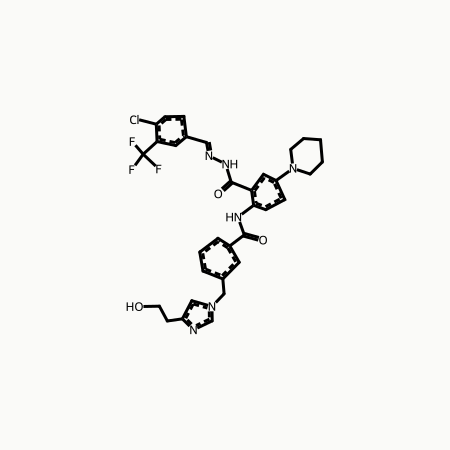 O=C(Nc1ccc(N2CCCCC2)cc1C(=O)NN=Cc1ccc(Cl)c(C(F)(F)F)c1)c1cccc(Cn2cnc(CCO)c2)c1